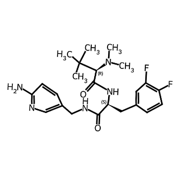 CN(C)[C@@H](C(=O)N[C@@H](Cc1ccc(F)c(F)c1)C(=O)NCc1ccc(N)nc1)C(C)(C)C